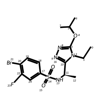 CCn1c(OC(C)C)nnc1[C@@H](C)NS(=O)(=O)c1ccc(Br)c(F)c1